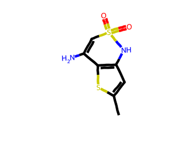 Cc1cc2c(s1)C(N)=CS(=O)(=O)N2